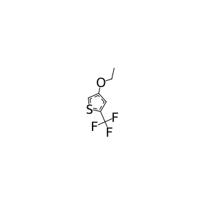 CCOc1csc(C(F)(F)F)c1